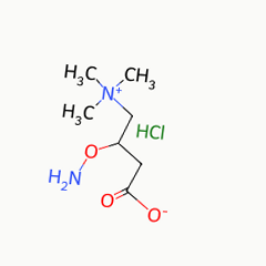 C[N+](C)(C)CC(CC(=O)[O-])ON.Cl